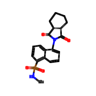 CC(C)(C)NS(=O)(=O)c1cccc2c(N3C(=O)C4CCCCC4C3=O)cccc12